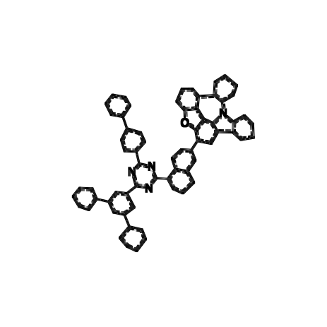 c1ccc(-c2ccc(-c3nc(-c4cc(-c5ccccc5)cc(-c5ccccc5)c4)nc(-c4cccc5cc(-c6cc7c8ccccc8n8c9ccccc9c9cccc%10oc6c(c%109)c78)ccc45)n3)cc2)cc1